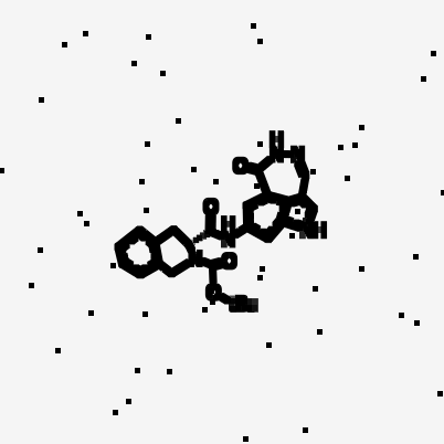 CC(C)(C)OC(=O)N1Cc2ccccc2C[C@@H]1C(=O)Nc1cc2c3c(c[nH]c3c1)C=NNC2=O